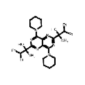 CCC(CC)C(N)(O)c1nc(N2CCCCC2)c2nc(C(N)(O)C(CC)CC)nc(N3CCCCC3)c2n1